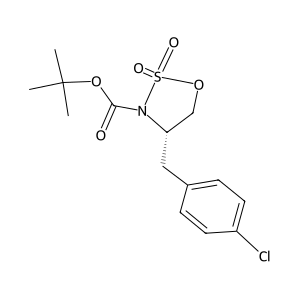 CC(C)(C)OC(=O)N1[C@@H](Cc2ccc(Cl)cc2)COS1(=O)=O